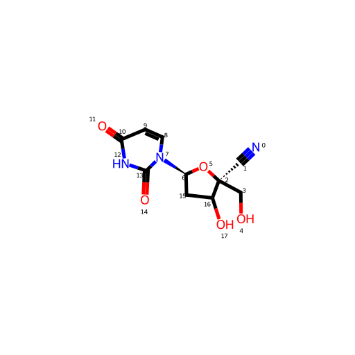 N#C[C@@]1(CO)O[C@H](n2ccc(=O)[nH]c2=O)CC1O